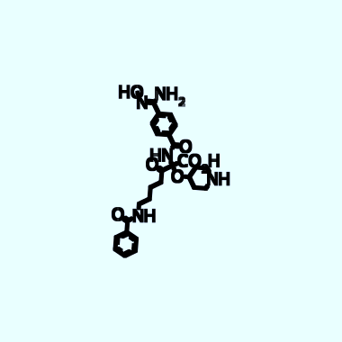 NC(=NO)c1ccc(C(=O)NC(OC2CCNCC2)(C(=O)O)C(=O)CCCCNC(=O)c2ccccc2)cc1